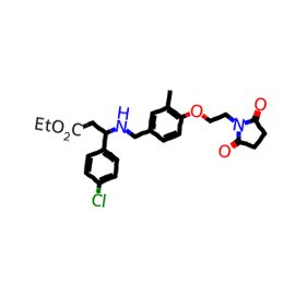 CCOC(=O)CC(NCc1ccc(OCCN2C(=O)CCC2=O)c(C)c1)c1ccc(Cl)cc1